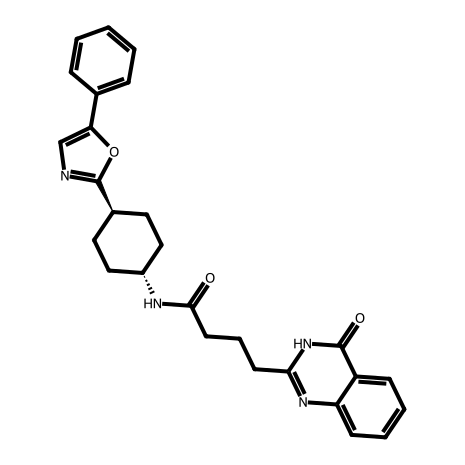 O=C(CCCc1nc2ccccc2c(=O)[nH]1)N[C@H]1CC[C@H](c2ncc(-c3ccccc3)o2)CC1